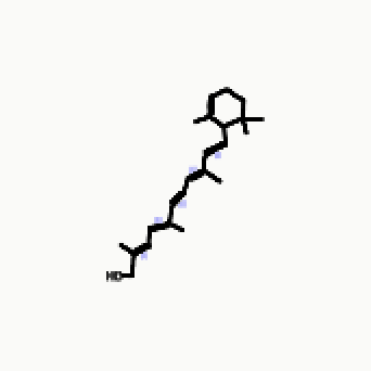 CC1=CCCC(C)(C)C1/C=C/C(C)=C/C=C/C(C)=C/C=C(\C)CO